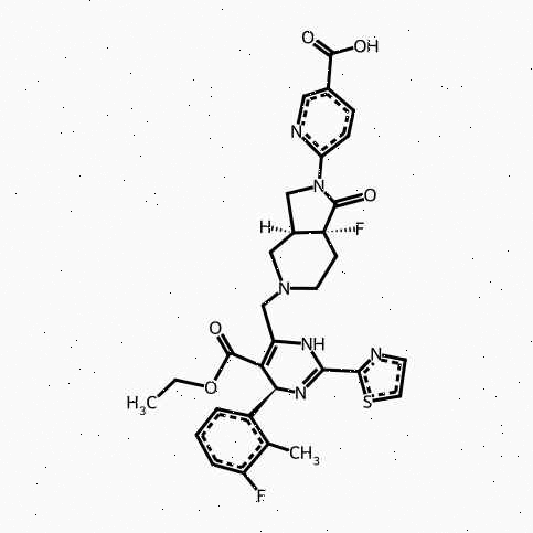 CCOC(=O)C1=C(CN2CC[C@]3(F)C(=O)N(c4ccc(C(=O)O)cn4)C[C@@H]3C2)NC(c2nccs2)=N[C@H]1c1cccc(F)c1C